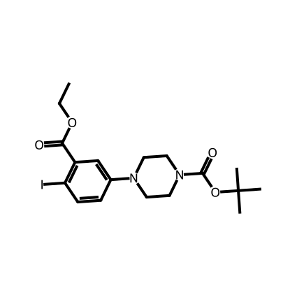 CCOC(=O)c1cc(N2CCN(C(=O)OC(C)(C)C)CC2)ccc1I